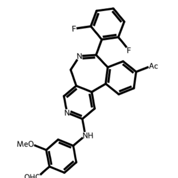 COc1cc(Nc2cc3c(cn2)CN=C(c2c(F)cccc2F)c2cc(C(C)=O)ccc2-3)ccc1C=O